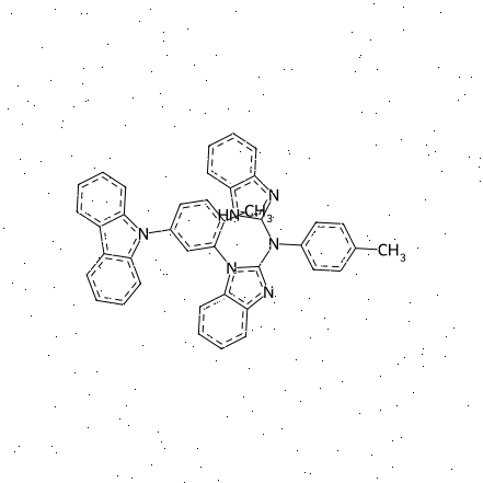 Cc1ccc(N(c2nc3ccccc3[nH]2)c2nc3ccccc3n2-c2cc(-n3c4ccccc4c4ccccc43)ccc2C)cc1